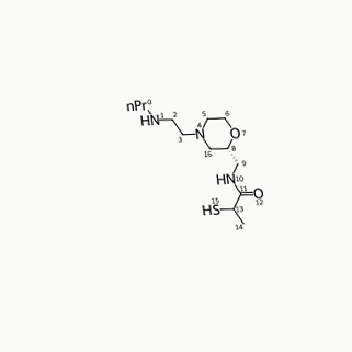 CCCNCCN1CCO[C@H](CNC(=O)C(C)S)C1